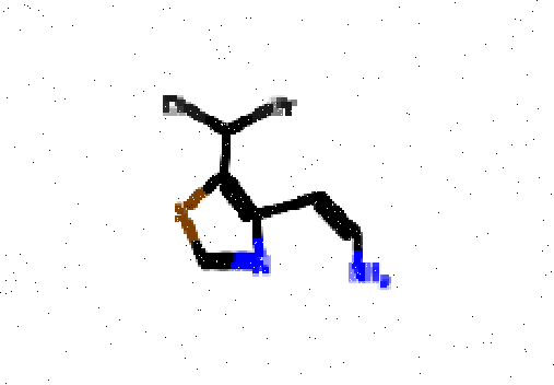 CCC(c1scnc1/C=C\N)C(C)C